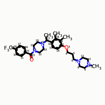 Cc1c(OCCCN2CCN(C)CC2)ccc(C(C)N2CCN(C(=O)c3ccc(C(F)(F)F)cc3)CC2)c1C